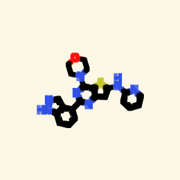 c1ccc(Nc2cc3nc(-c4cccc5[nH]ncc45)nc(N4CCOCC4)c3s2)nc1